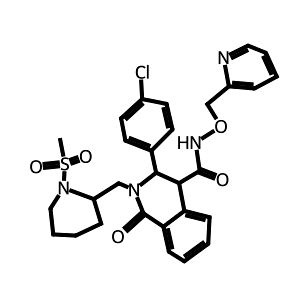 CS(=O)(=O)N1CCCCC1CN1C(=O)c2ccccc2C(C(=O)NOCc2ccccn2)C1c1ccc(Cl)cc1